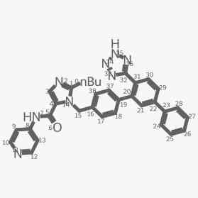 CCCCc1ncc(C(=O)Nc2ccncc2)n1Cc1ccc(-c2cc(-c3ccccc3)ccc2-c2nn[nH]n2)cc1